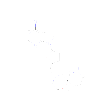 NC1=c2ccn(C3CCC(CN4CCOC5(CCCNC5)C4)O3)c2=NCN1